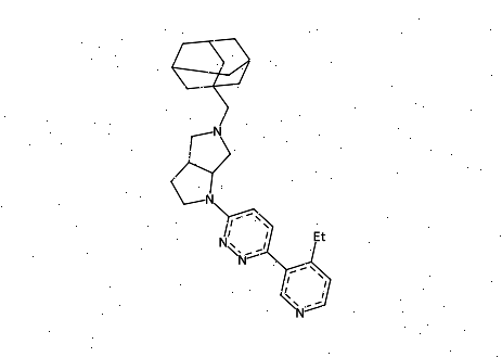 CCc1ccncc1-c1ccc(N2CCC3CN(CC45CC6CC(CC(C6)C4)C5)CC32)nn1